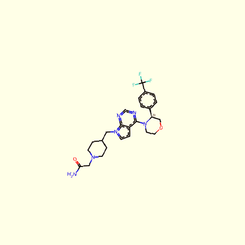 NC(=O)CN1CCC(Cn2ccc3c(N4CCOC[C@@H]4c4ccc(C(F)(F)F)cc4)ncnc32)CC1